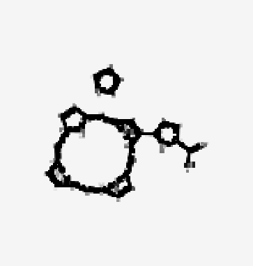 O=C(O)c1ccc(-c2cc3cc4nc(cc5ccc(cc6nc(cc2[nH]3)C=C6)[nH]5)C=C4)o1.c1ccoc1